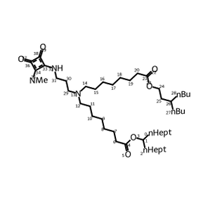 CCCCCCCC(CCCCCCC)OC(=O)CCCCCCCN(CCCCCCCC(=O)OCCC(CCCC)CCCC)CCCNc1c(NC)c(=O)c1=O